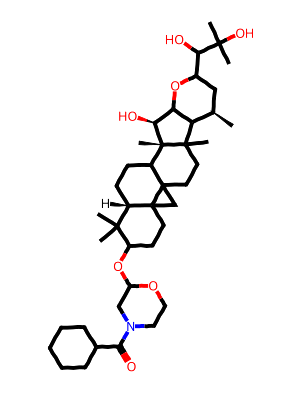 C[C@@H]1CC(C(O)C(C)(C)O)OC2C1C1(C)CCC34CC35CCC(OC3CN(C(=O)C6CCCCC6)CCO3)C(C)(C)[C@@H]5CCC4[C@]1(C)[C@H]2O